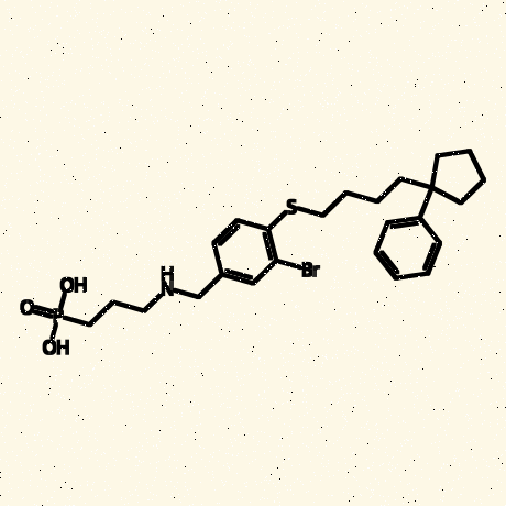 O=P(O)(O)CCCNCc1ccc(SCCCCC2(c3ccccc3)CCCC2)c(Br)c1